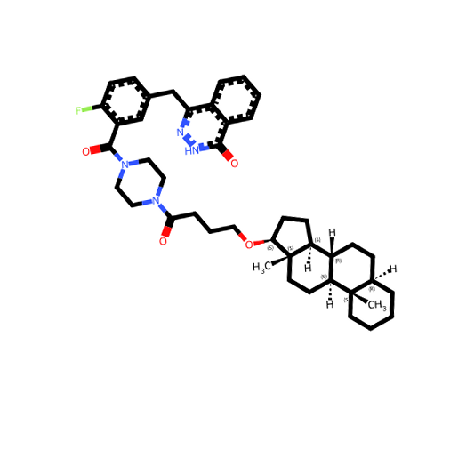 C[C@]12CCCC[C@@H]1CC[C@@H]1[C@@H]2CC[C@]2(C)[C@@H](OCCCC(=O)N3CCN(C(=O)c4cc(Cc5n[nH]c(=O)c6ccccc56)ccc4F)CC3)CC[C@@H]12